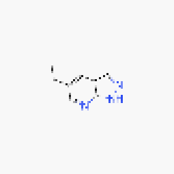 CCC1=CC2C=NNC2N=C1